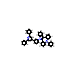 c1ccc(-c2cc(-c3cccc(-n4c5c(c6ccccc64)-c4ccccc4N(c4ccccc4)c4ccccc4-5)c3)cc(-c3ccccc3)n2)cc1